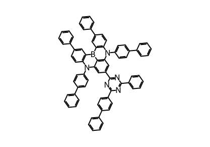 c1ccc(-c2ccc(-c3nc(-c4ccccc4)nc(-c4cc5c6c(c4)N(c4ccc(-c7ccccc7)cc4)c4ccc(-c7ccccc7)cc4B6c4cc(-c6ccccc6)ccc4N5c4ccc(-c5ccccc5)cc4)n3)cc2)cc1